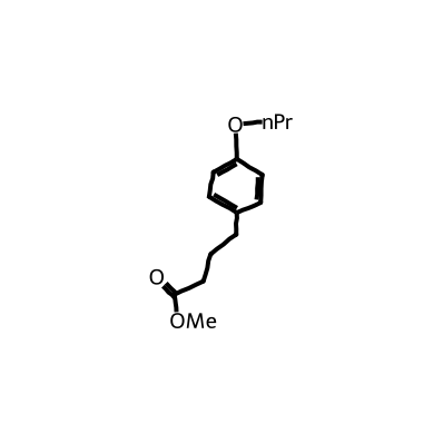 CCCOc1ccc(CCCC(=O)OC)cc1